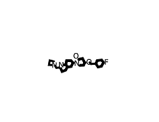 O=c1cc(OCc2ccc(F)cc2)ccn1-c1ccc2nc(CN3CCC3)ccc2c1